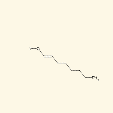 CCCCCCC=COI